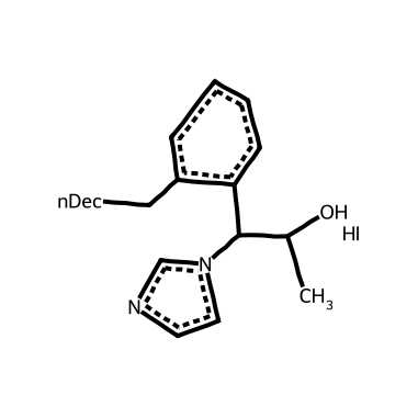 CCCCCCCCCCCc1ccccc1C(C(C)O)n1ccnc1.I